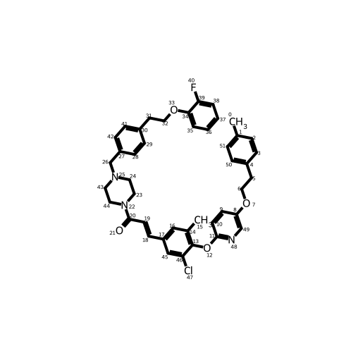 Cc1ccc(CCOc2ccc(Oc3c(C)cc(C=CC(=O)N4CCN(Cc5ccc(CCOc6ccccc6F)cc5)CC4)cc3Cl)nc2)cc1